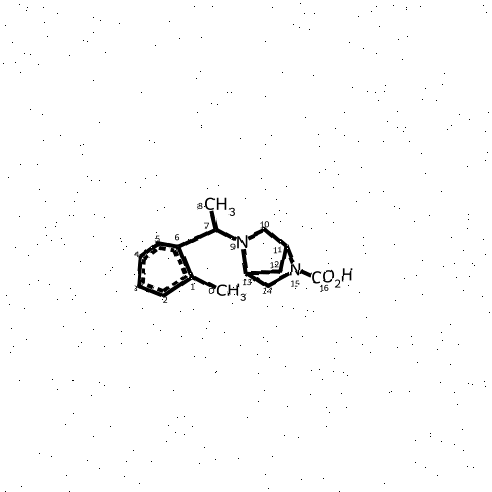 Cc1ccccc1C(C)N1CC2CC1CN2C(=O)O